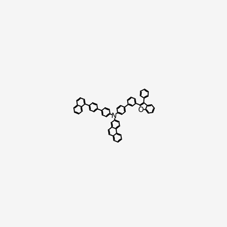 c1ccc(-c2c(-c3cccc(-c4ccc(N(c5ccc(-c6ccc(-c7cccc8ccccc78)cc6)cc5)c5ccc6c(ccc7ccccc76)c5)cc4)c3)oc3ccccc23)cc1